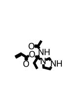 C=CC(=O)OC(CC)(NC(C)=O)N1CCNC1